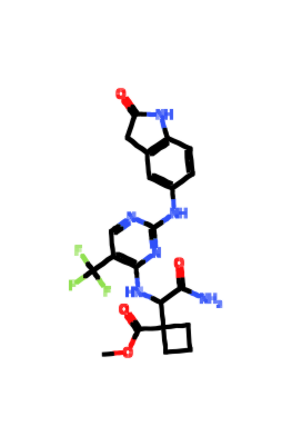 COC(=O)C1(C(Nc2nc(Nc3ccc4c(c3)CC(=O)N4)ncc2C(F)(F)F)C(N)=O)CCC1